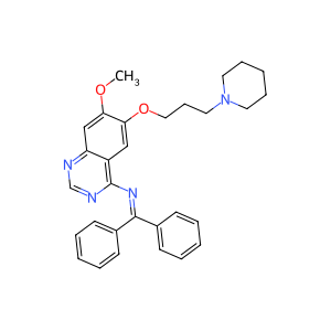 COc1cc2ncnc(N=C(c3ccccc3)c3ccccc3)c2cc1OCCCN1CCCCC1